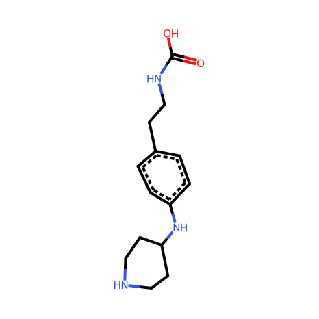 O=C(O)NCCc1ccc(NC2CCNCC2)cc1